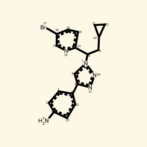 Nc1ccc(-c2cn(C(CC3CC3)c3ccc(Br)cn3)nn2)cc1